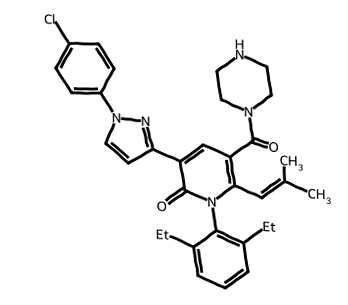 CCc1cccc(CC)c1-n1c(C=C(C)C)c(C(=O)N2CCNCC2)cc(-c2ccn(-c3ccc(Cl)cc3)n2)c1=O